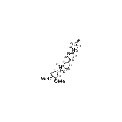 COc1ccc(-c2cc3ncc(-c4ccc(N5CCN(C(C)C)CC5)nc4)cc3n2C)cc1OC